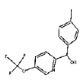 OC(c1ccc(F)cc1)c1ccc(OC(F)(F)F)cn1